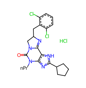 CCCN1C(=O)N2CC(Cc3c(Cl)cccc3Cl)N=C2c2[nH]c(C3CCCC3)nc21.Cl